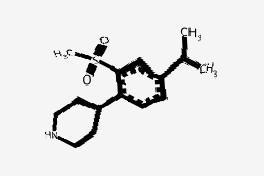 CC(C)c1ccc(C2CCNCC2)c(S(C)(=O)=O)c1